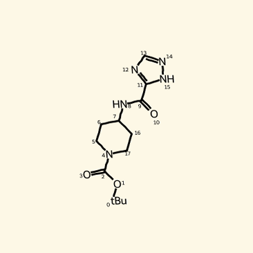 CC(C)(C)OC(=O)N1CCC(NC(=O)c2ncn[nH]2)CC1